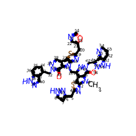 Cn1c2nc(Cc3cc[nH]n3)sc2c2c(Cn3c4nc(Cc5cnco5)sc4c4cnn(Cc5cccc6[nH]ncc56)c(=O)c43)nn(Cc3n[nH]c4cccnc34)c(=O)c21